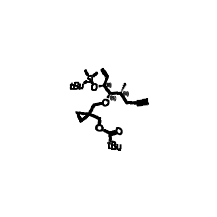 C#CC[C@@H](C)[C@H](OCC1(COC(=O)C(C)(C)C)CC1)[C@@H](C=C)O[Si](C)(C)C(C)(C)C